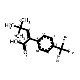 CC(C)(C)C=C(C(=O)O)c1ccc(C(F)(F)F)cc1